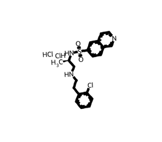 C[C@H](CNCCc1ccccc1Cl)NS(=O)(=O)c1ccc2cnccc2c1.Cl.Cl